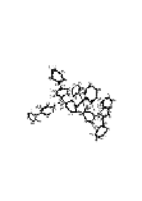 c1ccc(-c2ccc(N(c3ccc(-c4ccccc4)cc3)c3ccc4c(c3)C(c3ccccc3)(c3ccccc3)c3cc(-n5c(-c6ccccc6)cc6ccccc65)ccc3-4)cc2)cc1